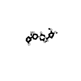 COc1ccc(-c2nnc3n2CC(=O)N([C@H]2CC[C@@](CN)(c4cccc(Cl)c4)CC2)C3)cc1OC